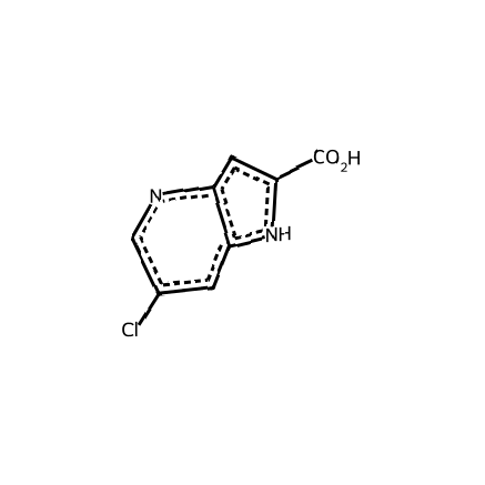 O=C(O)c1cc2ncc(Cl)cc2[nH]1